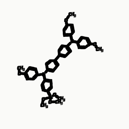 COc1ccc(N(c2ccc(OC)cc2)c2ccc(-c3ccc(N(c4ccc(OC)cc4)c4ccc([Si](OC)(OC)OC)cc4)cc3)cc2)cc1